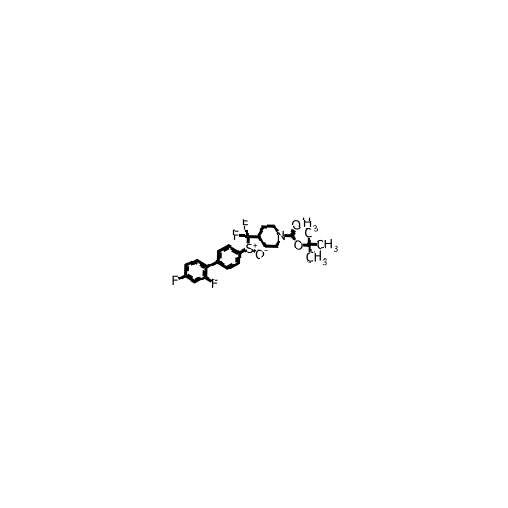 CC(C)(C)OC(=O)N1CCC(C(F)(F)[S+]([O-])c2ccc(-c3ccc(F)cc3F)cc2)CC1